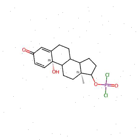 C[C@]12CCC3C(CCC4=CC(=O)C=C[C@@]43O)C1CCC2OP(=O)(Cl)Cl